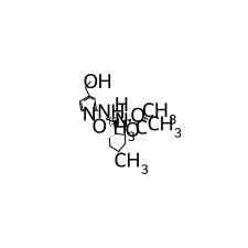 CC(C)(C)OC(=O)N[C@H](C(=O)Nc1cc(CO)ccn1)[C@H]1CC[C@H](C)CC1